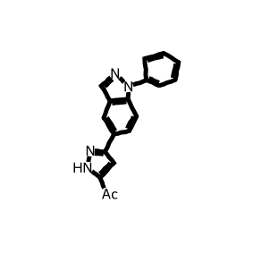 CC(=O)c1cc(-c2ccc3c(cnn3-c3ccccc3)c2)n[nH]1